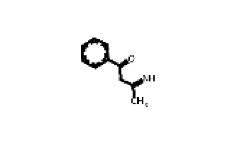 CC(=N)CC(=O)c1ccccc1